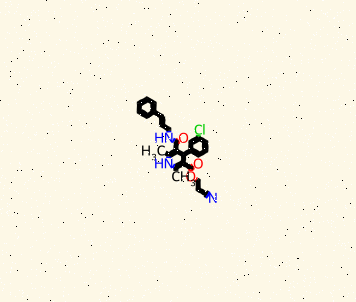 CC1=C(C(=O)NCC=Cc2ccccc2)C(c2cccc(Cl)c2)C(C(=O)OCCC#N)=C(C)N1